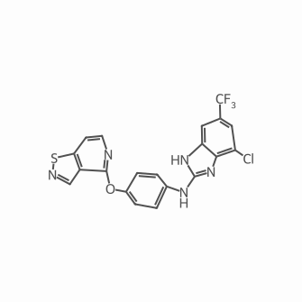 FC(F)(F)c1cc(Cl)c2nc(Nc3ccc(Oc4nccc5sncc45)cc3)[nH]c2c1